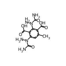 Cc1cc(N(N)C(N)=O)c(C(=O)O)c(N(N)C(N)=O)c1C(=O)O